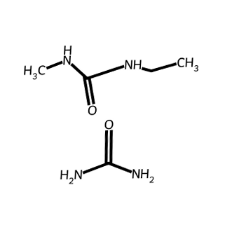 CCNC(=O)NC.NC(N)=O